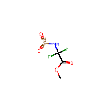 COC(=O)C(F)(F)N[SH](=O)=O